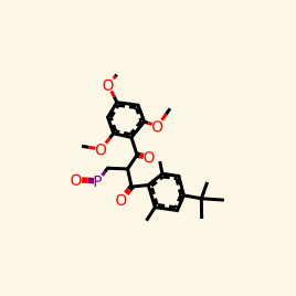 COc1cc(OC)c(C(=O)C(CP=O)C(=O)c2c(C)cc(C(C)(C)C)cc2C)c(OC)c1